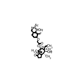 C=C[C@]1(C)C[C@@H](OC(=O)COc2ccc3c(c2F)B(O)N(C(C)=O)N=C3)[C@]2(C)[C@H](C)CC[C@]3(CCC(=O)[C@H]32)[C@@H](C)[C@@H]1O